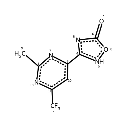 Cc1nc(-c2nc(=O)o[nH]2)cc(C(F)(F)F)n1